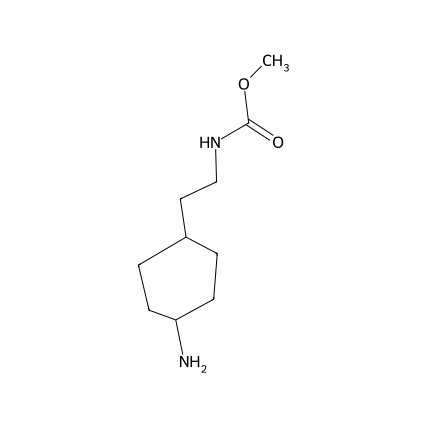 COC(=O)NCCC1CCC(N)CC1